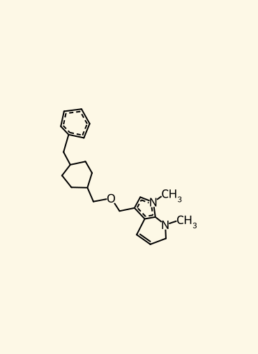 CN1CC=Cc2c(COCC3CCC(Cc4ccccc4)CC3)cn(C)c21